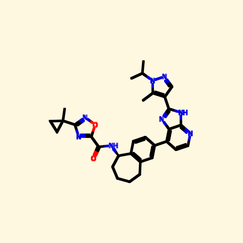 Cc1c(-c2nc3c(-c4ccc5c(c4)CCCC[C@H]5NC(=O)c4nc(C5(C)CC5)no4)ccnc3[nH]2)cnn1C(C)C